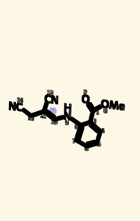 COC(=O)c1ccccc1N/C=C(\C#N)CC#N